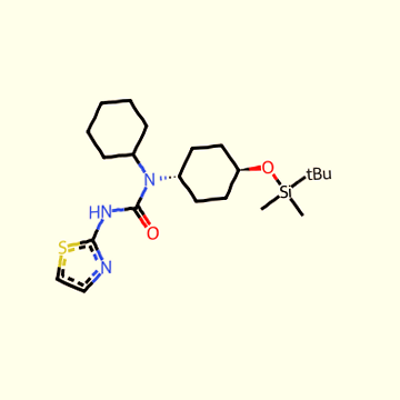 CC(C)(C)[Si](C)(C)O[C@H]1CC[C@H](N(C(=O)Nc2nccs2)C2CCCCC2)CC1